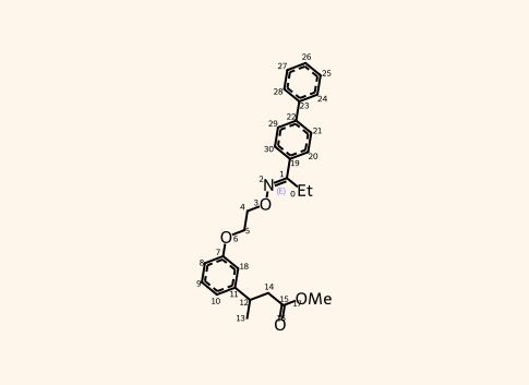 CC/C(=N\OCCOc1cccc(C(C)CC(=O)OC)c1)c1ccc(-c2ccccc2)cc1